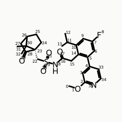 COc1cc(-c2cc(F)cc(C(C)C)c2CC(=O)NS(=O)(=O)C[C@]23CCC(CC2=O)C3(C)C)ccn1